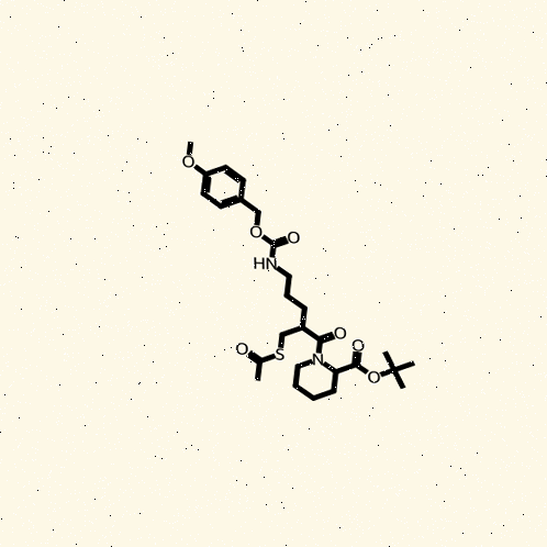 COc1ccc(COC(=O)NCCCC(CSC(C)=O)C(=O)N2CCCCC2C(=O)OC(C)(C)C)cc1